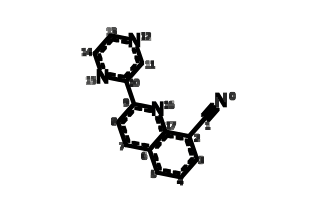 N#Cc1cccc2ccc(-c3cnccn3)nc12